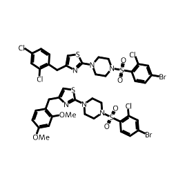 COc1ccc(Cc2csc(N3CCN(S(=O)(=O)c4ccc(Br)cc4Cl)CC3)n2)c(OC)c1.O=S(=O)(c1ccc(Br)cc1Cl)N1CCN(c2nc(Cc3ccc(Cl)cc3Cl)cs2)CC1